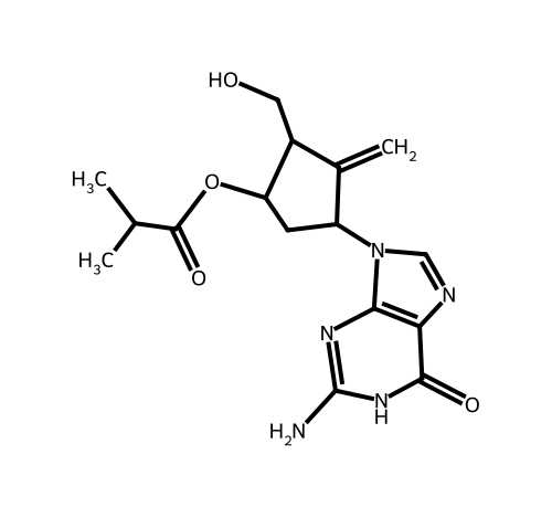 C=C1C(CO)C(OC(=O)C(C)C)CC1n1cnc2c(=O)[nH]c(N)nc21